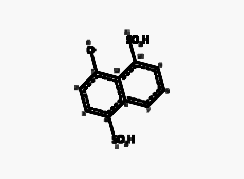 [O]c1ccc(S(=O)(=O)O)c2cccc(S(=O)(=O)O)c12